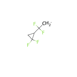 [CH2]C(F)(F)C1CC1(F)F